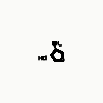 Cl.N[C@H]1CCOC1